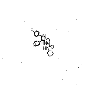 O=C(NC1CCCCC1)N1CCn2nc(-c3ccc(F)cc3)c(-c3ccncc3)c2N1